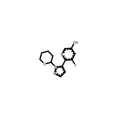 Oc1cnc(-c2ccnn2C2CCCCO2)c(F)c1